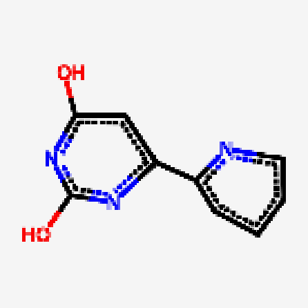 Oc1cc(-c2ccccn2)nc(O)n1